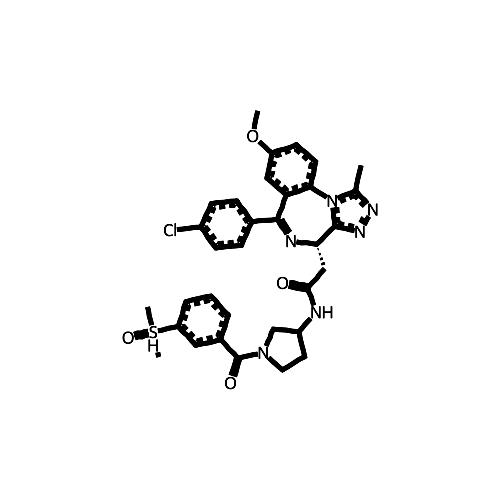 COc1ccc2c(c1)C(c1ccc(Cl)cc1)=N[C@@H](CC(=O)NC1CCN(C(=O)c3cccc([SH](C)(C)=O)c3)C1)c1nnc(C)n1-2